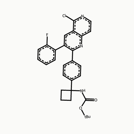 CC(C)(C)OC(=O)NC1(c2ccc(-c3nc4ccnc(Cl)c4cc3-c3ccccc3F)cc2)CCC1